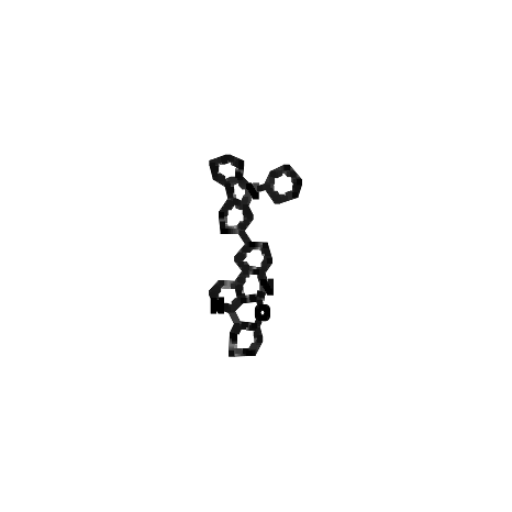 c1ccc(-n2c3ccccc3c3ccc(-c4ccc5nc6c7c(nccc7c5c4)-c4ccccc4O6)cc32)cc1